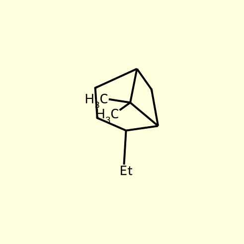 [CH2]CC1CCC2CC1C2(C)C